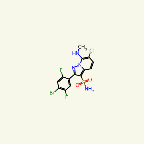 CNc1c(Cl)ccc2c(S(N)(=O)=O)c(-c3cc(F)c(Br)cc3F)nn12